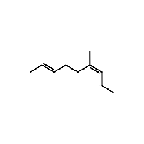 C[CH]C=C(C)CCC=CC